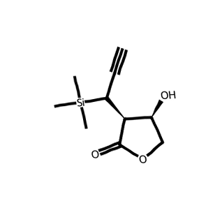 C#CC([C@@H]1C(=O)OC[C@@H]1O)[Si](C)(C)C